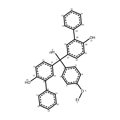 CCCC(c1ccc(OCC)cc1)(c1ccc(O)c(-c2ccccc2)c1)c1ccc(O)c(-c2ccccc2)c1